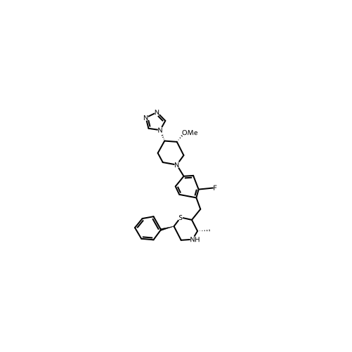 CO[C@@H]1CN(c2ccc(CC3S[C@H](c4ccccc4)CN[C@H]3C)c(F)c2)CC[C@@H]1n1cnnc1